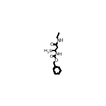 CCNC(=O)CC([SiH3])NC(=O)OCc1ccccc1